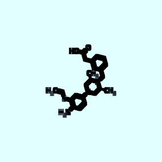 C=CSc1cc(N2C[C@@H](C)N(Cc3cccc(CC(=O)O)c3)[C@@H](C)C2)ccc1N